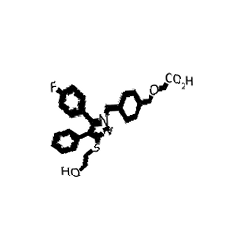 O=C(O)COCC1CCC(Cn2nc(SCCO)c(-c3ccccc3)c2-c2ccc(F)cc2)CC1